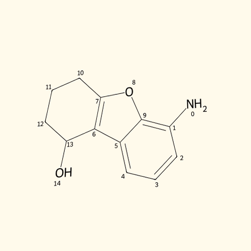 Nc1cccc2c3c(oc12)CCCC3O